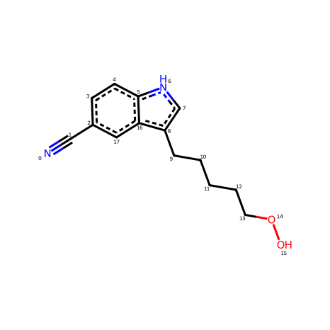 N#Cc1ccc2[nH]cc(CCCCCOO)c2c1